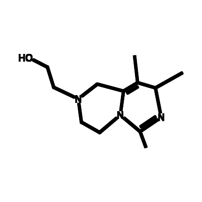 CC1=NC(C)C(C)=C2CN(CCO)CCN12